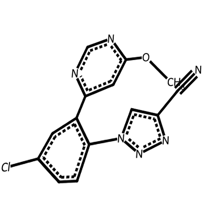 COc1cc(-c2cc(Cl)ccc2-n2cc(C#N)nn2)ncn1